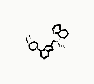 CCN1CCN(c2cccc3nc(CN(C)[C@H]4CCCc5cccnc54)cn23)CC1